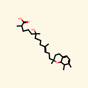 CC1=CC=C2CCC(C)(CC/C=C(\C)CCCC(C)(O)CCCC(C)C(=O)O)OC2C1C